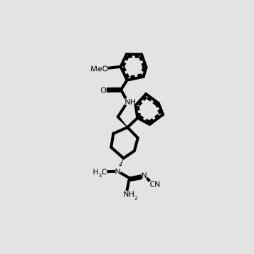 COc1ccccc1C(=O)NC[C@]1(c2ccccc2)CC[C@@H](N(C)C(N)=NC#N)CC1